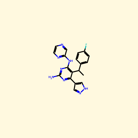 CC(c1ccc(F)cc1)c1c(Nc2cnccn2)nc(N)nc1-c1cn[nH]c1